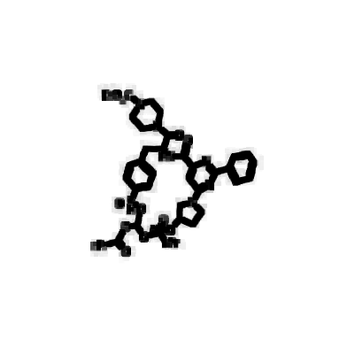 CCCC(=O)OC(OC(=O)CCC)O[PH](=O)c1ccc(CC(NC(=O)c2cc(N3CCC(OC)C3)nc(-c3ccccc3)n2)C(=O)N2CCN(C(=O)OCC)CC2)cc1